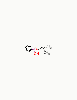 CC(C)CCOP(O)c1ccccc1